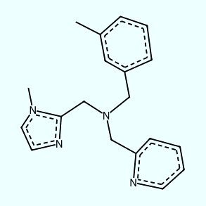 Cc1cccc(CN(Cc2ccccn2)Cc2nccn2C)c1